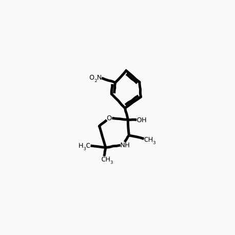 CC1NC(C)(C)COC1(O)c1cccc([N+](=O)[O-])c1